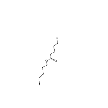 [CH]CCCCC(=O)OCCCCC